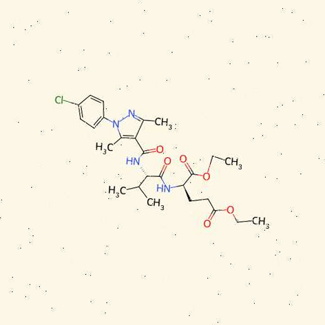 CCOC(=O)CC[C@@H](NC(=O)[C@@H](NC(=O)c1c(C)nn(-c2ccc(Cl)cc2)c1C)C(C)C)C(=O)OCC